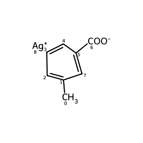 Cc1cccc(C(=O)[O-])c1.[Ag+]